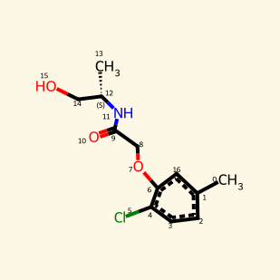 Cc1ccc(Cl)c(OCC(=O)N[C@@H](C)CO)c1